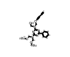 C#CC#COCN(CO)c1nc(-c2ccccc2)nc(N(COCCCC)COCCCC)n1